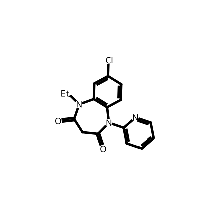 CCN1C(=O)CC(=O)N(c2ccccn2)c2ccc(Cl)cc21